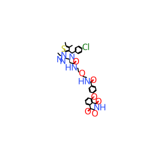 Cc1sc2c(c1C)C(c1ccc(Cl)cc1)=N[C@@H](CC(=O)NCCOCCNC(=O)c1ccc(Oc3cccc4c3C(=O)NC(=O)C4=O)cc1)c1nnc(C)n1-2